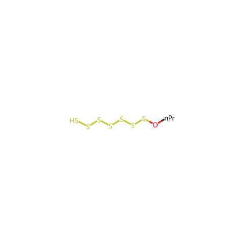 CCCOSSSSSSS